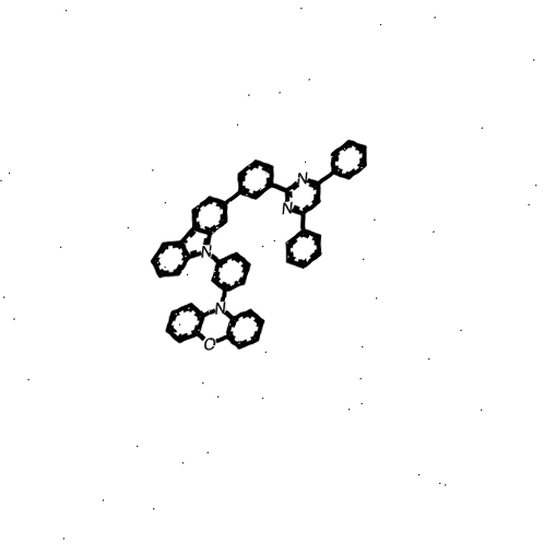 c1ccc(-c2cc(-c3ccccc3)nc(-c3cccc(-c4ccc5c6ccccc6n(-c6cccc(N7c8ccccc8Oc8ccccc87)c6)c5c4)c3)n2)cc1